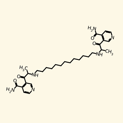 CC(NCCCCCCCCCCCCCNC(C)C(=O)c1cnccc1C(N)=O)C(=O)c1cnccc1C(N)=O